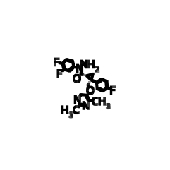 Cc1ncc(OC[C@@]2(c3ccc(F)cc3)C[C@H]2C(=O)N(N)c2ccc(F)c(F)c2)c(C)n1